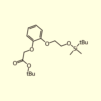 CC(C)(C)OC(=O)COc1ccccc1OCCO[Si](C)(C)C(C)(C)C